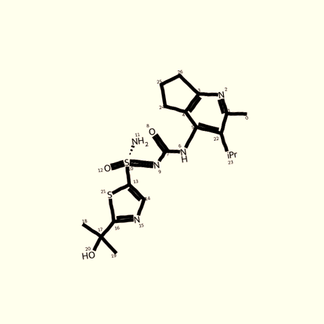 Cc1nc2c(c(NC(=O)N=[S@](N)(=O)c3cnc(C(C)(C)O)s3)c1C(C)C)CCC2